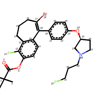 CC(C)(C)C(=O)Oc1ccc2c(c1F)CCCC(Br)=C2c1ccc(O[C@H]2CCN(CCCF)C2)cc1